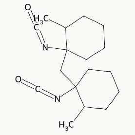 CC1CCCCC1(CC1(N=C=O)CCCCC1C)N=C=O